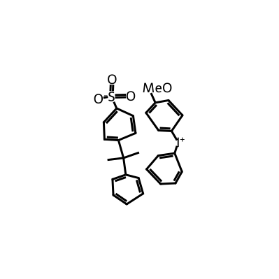 CC(C)(c1ccccc1)c1ccc(S(=O)(=O)[O-])cc1.COc1ccc([I+]c2ccccc2)cc1